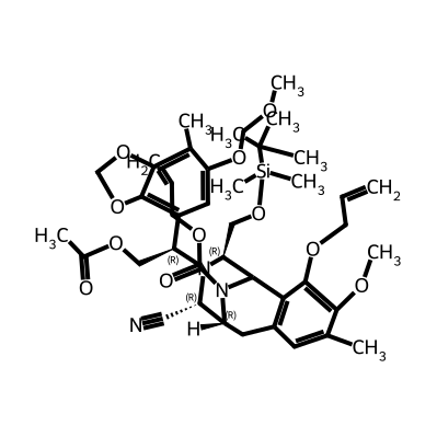 C=CCOC(=O)N1C2c3c(cc(C)c(OC)c3OCC=C)C[C@@H]1[C@H](C#N)N([C@@H](COC(C)=O)c1cc(OCOC)c(C)c3c1OCO3)[C@H]2CO[Si](C)(C)C(C)(C)C